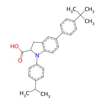 CC(C)c1ccc(N2c3ccc(-c4ccc(C(C)(C)C)cc4)cc3CC2C(=O)O)cc1